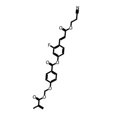 C=C(C)C(=O)OCOc1ccc(C(=O)Oc2ccc(/C=C/C(=O)OCCC#N)c(F)c2)cc1